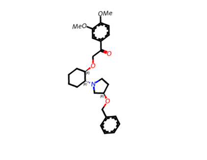 COc1ccc(C(=O)CO[C@@H]2CCCC[C@H]2N2CC[C@@H](OCc3ccccc3)C2)cc1OC